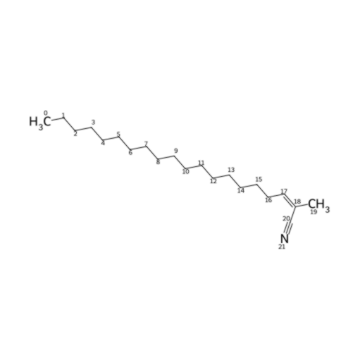 CCCCCCCCCCCCCCCCCC=C(C)C#N